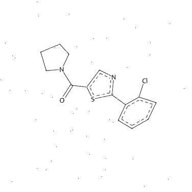 O=C(c1cnc(-c2ccccc2Cl)s1)N1CCCC1